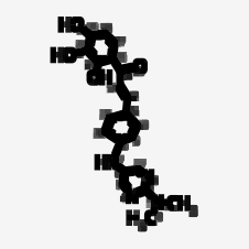 CN(C)c1ncc(Nc2ccc(/C=C/C(=O)c3ccc(O)c(O)c3O)cc2)cn1